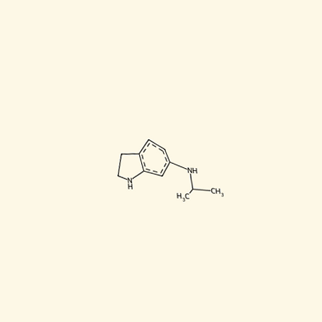 CC(C)Nc1ccc2c(c1)NCC2